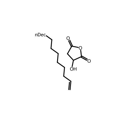 C=CCCCCCCCCCCCCCCCC.O=C1CC(O)C(=O)O1